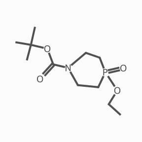 CCOP1(=O)CCN(C(=O)OC(C)(C)C)CC1